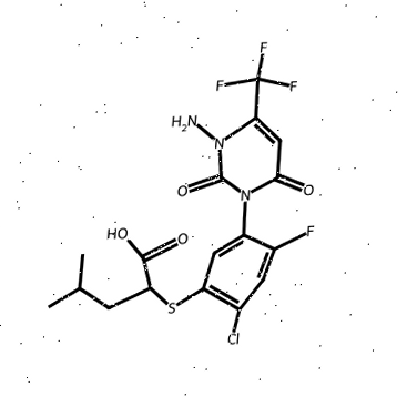 CC(C)CC(Sc1cc(-n2c(=O)cc(C(F)(F)F)n(N)c2=O)c(F)cc1Cl)C(=O)O